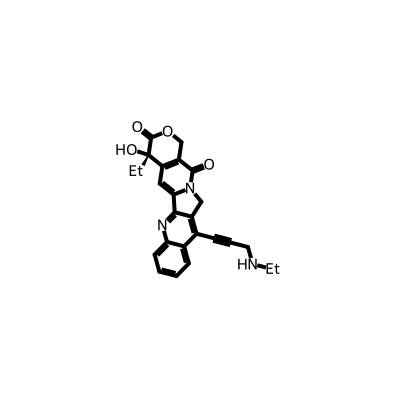 CCNCC#Cc1c2c(nc3ccccc13)-c1cc3c(c(=O)n1C2)COC(=O)[C@]3(O)CC